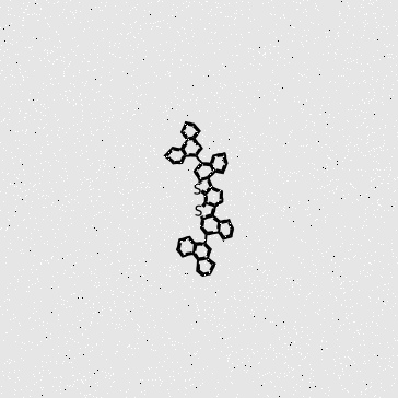 c1ccc2c(c1)cc(-c1cc3sc4c(ccc5c4sc4cc(-c6cc7ccccc7c7ccccc67)c6ccccc6c45)c3c3ccccc13)c1ccccc12